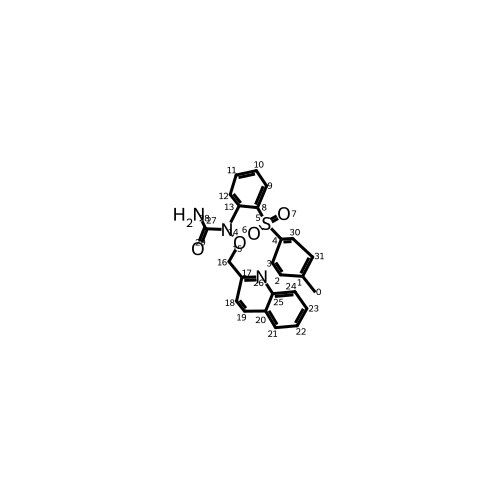 Cc1ccc(S(=O)(=O)c2ccccc2N(OCc2ccc3ccccc3n2)C(N)=O)cc1